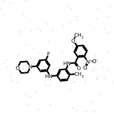 COc1ccc([N+](=O)[O-])c(C(=O)Nc2cc(Nc3cc(F)cc(N4CCOCC4)c3)ccc2C)c1